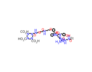 CCC(=O)NCCNC(=O)/N=C(/N)NCCC[C@@H](NC(=O)[C@@H](c1ccccc1)c1cccc(OCCCCNC(=O)CCOCCNC(=O)CN2CCN(CC(=O)O)CCN(CC(=O)O)CCN(CC(=O)O)CC2)c1)C(=O)NCc1ccc(O)cc1